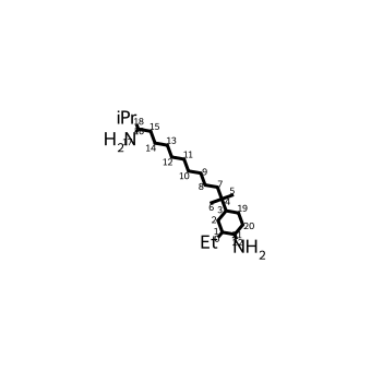 CCC1CC(C(C)(C)CCCCCCCCCC(N)C(C)C)CCC1N